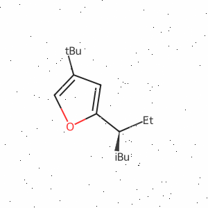 CCC(C)[C@H](CC)c1cc(C(C)(C)C)co1